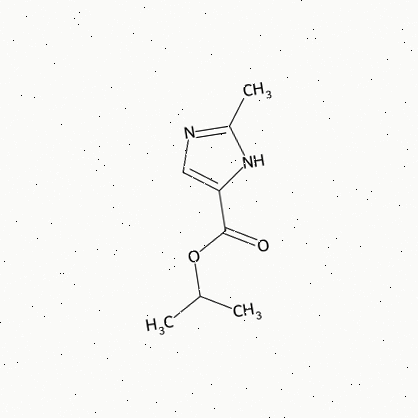 Cc1ncc(C(=O)OC(C)C)[nH]1